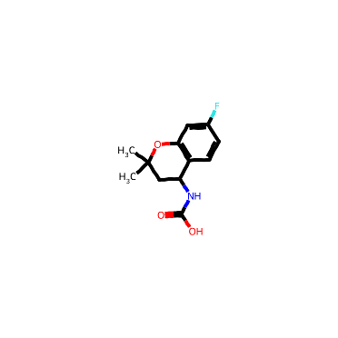 CC1(C)CC(NC(=O)O)c2ccc(F)cc2O1